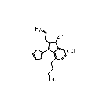 C=CCC1=C(C2=CC=CC2)c2c(CCCC)cccc2[CH]1[Zr+2].[Cl-].[Cl-]